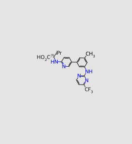 Cc1cc(Nc2nccc(C(F)(F)F)n2)cc(-c2ccc(N[C@H](C(=O)O)C(C)C)nc2)c1